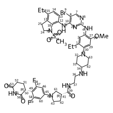 CCc1cc(Nc2ncc(Br)c(Nc3ccc(CC)c4c3N(S(C)(=O)=O)CC4)n2)c(OC)cc1N1CCC(NCCNC(=O)[C@@H]2CCN(c3cc(F)c([C@H]4CCC(=O)NC4=O)c(F)c3)C2)CC1